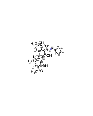 CC(=O)C1=C(O)C(C)C(C)(O)C(Cc2c(O)c3c(c(C(=O)/C=C/c4ccccc4)c2O)OC(C)(C)C=C3)=C1O